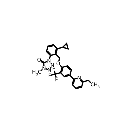 CCc1cccc(-c2ccc(OCc3c(C4CC4)cccc3-n3nnn(C)c3=O)c(C(F)(F)F)c2)n1